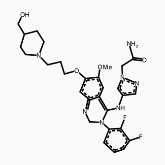 COc1cc2c(cc1OCCCN1CCC(CO)CC1)=NCN(c1cccc(F)c1F)C=2Nc1cnn(CC(N)=O)c1